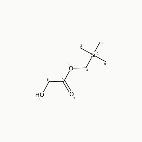 C[Si](C)(C)COC(=O)CO